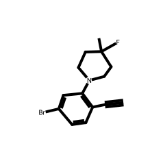 C#Cc1ccc(Br)cc1N1CCC(C)(F)CC1